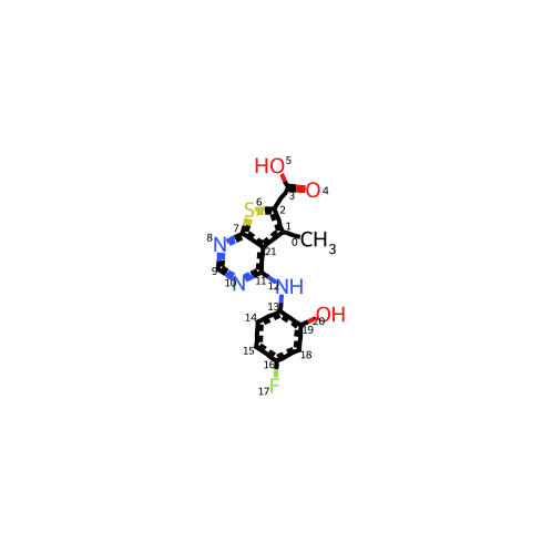 Cc1c(C(=O)O)sc2ncnc(Nc3ccc(F)cc3O)c12